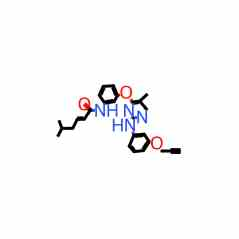 C#CCOc1cccc(Nc2ncc(C)c(Oc3cccc(NC(=O)/C=C/CC(C)C)c3)n2)c1